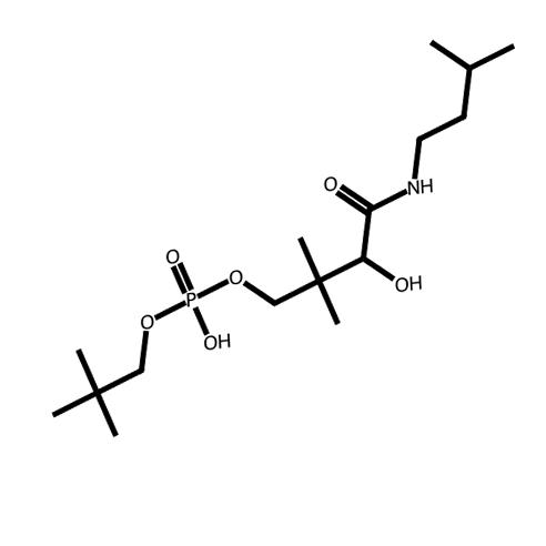 CC(C)CCNC(=O)C(O)C(C)(C)COP(=O)(O)OCC(C)(C)C